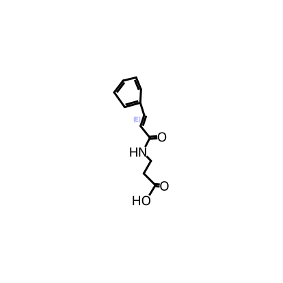 O=C(O)CCNC(=O)/C=C/c1ccccc1